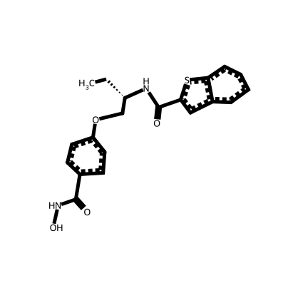 CC[C@@H](COc1ccc(C(=O)NO)cc1)NC(=O)c1cc2ccccc2s1